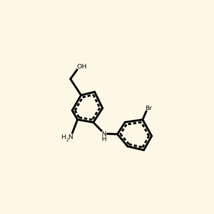 Nc1cc(CO)ccc1Nc1cccc(Br)c1